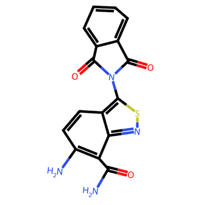 NC(=O)c1c(N)ccc2c(N3C(=O)c4ccccc4C3=O)snc12